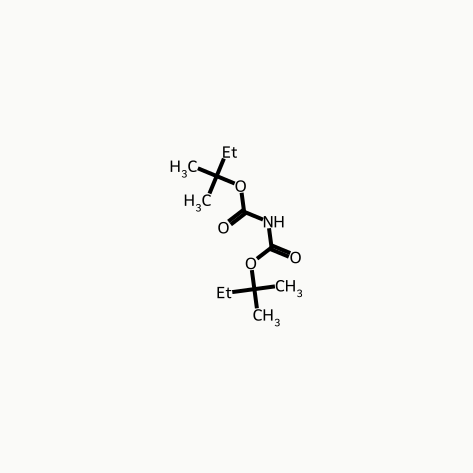 CCC(C)(C)OC(=O)NC(=O)OC(C)(C)CC